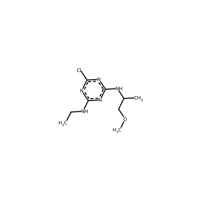 CCNc1nc(Cl)nc(NC(C)COC)n1